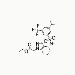 CCOC(=O)Cn1ncc2c1CCC[C@H]2N(C)S(=O)(=O)c1cc(C(C)C)cc(C(F)(F)F)c1